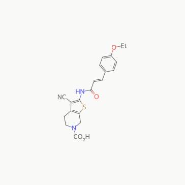 CCOc1ccc(C=CC(=O)Nc2sc3c(c2C#N)CCN(C(=O)O)C3)cc1